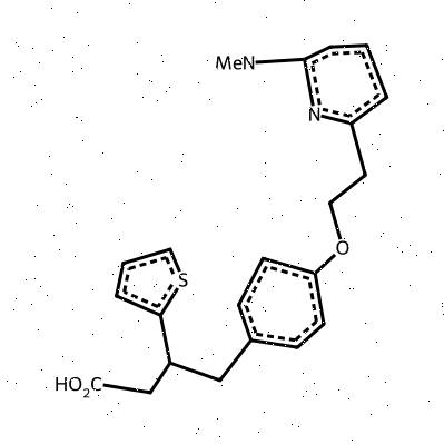 CNc1cccc(CCOc2ccc(CC(CC(=O)O)c3cccs3)cc2)n1